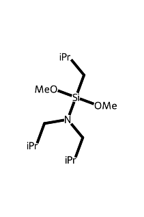 CO[Si](CC(C)C)(OC)N(CC(C)C)CC(C)C